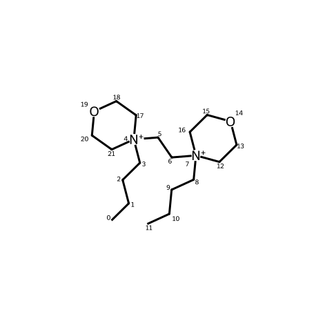 CCCC[N+]1(CC[N+]2(CCCC)CCOCC2)CCOCC1